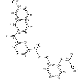 C=C(c1cccc(C(Cl)CCc2ccccc2CC(C)O)c1)c1ccc2ccc(Cl)cc2n1